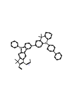 C=CC1=C(/C=C\C)c2cc3c4cc(-c5ccc6c(c5)C(C)(C)c5ccccc5N6c5ccc(-c6ccccc6)cc5)ccc4n(-c4ccccc4)c3cc2C1(C)C